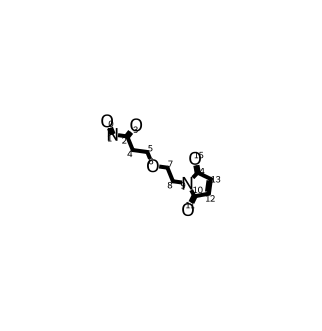 O=NC(=O)CCOCCN1C(=O)C=CC1=O